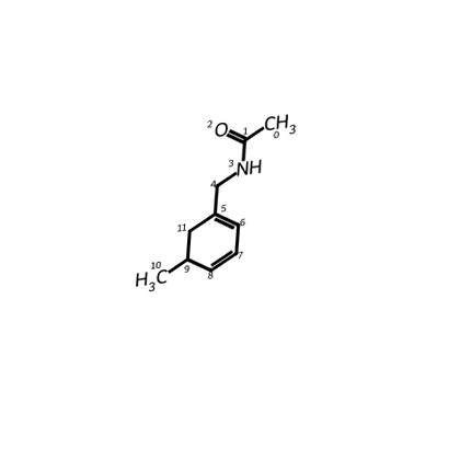 CC(=O)NCC1=CC=CC(C)C1